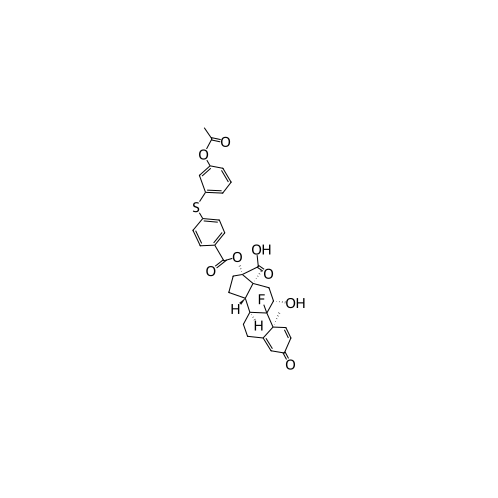 CC(=O)Oc1cccc(Sc2ccc(C(=O)O[C@@]3(C(=O)O)CC[C@H]4[C@@H]5CCC6=CC(=O)C=C[C@]6(C)C5(F)[C@@H](O)C[C@@]43C)cc2)c1